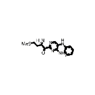 CSCCC(N)C(=O)c1ncc(Nc2ccccc2)c(N)n1